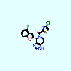 O=C(c1nc(Cl)cs1)N1CCc2[nH]cnc2[C@@H]1c1cc2c(F)cccc2o1